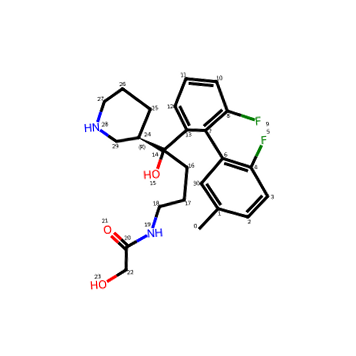 Cc1ccc(F)c(-c2c(F)cccc2C(O)(CCCNC(=O)CO)[C@@H]2CCCNC2)c1